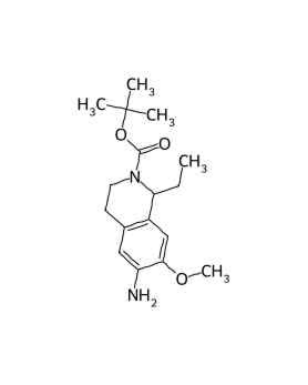 CCC1c2cc(OC)c(N)cc2CCN1C(=O)OC(C)(C)C